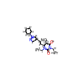 CC(C)Cn1c(C=Cc2cnn(-c3ccccc3)c2)c([N+](=O)[O-])c(=O)n(CC(C)C)c1=O